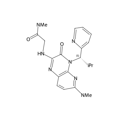 CNC(=O)CNc1nc2ccc(NC)nc2n([C@H](c2ccccn2)C(C)C)c1=O